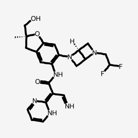 C[C@@]1(CO)Cc2cc(NC(=O)/C(C=N)=C3\N=CC=CN3)c(N3CC4[C@@H]3CN4CC(F)F)cc2O1